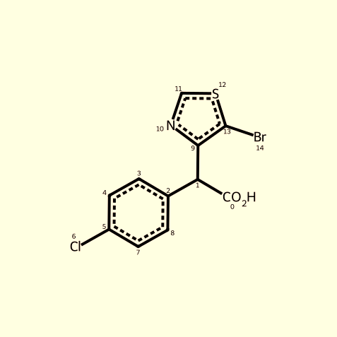 O=C(O)C(c1ccc(Cl)cc1)c1ncsc1Br